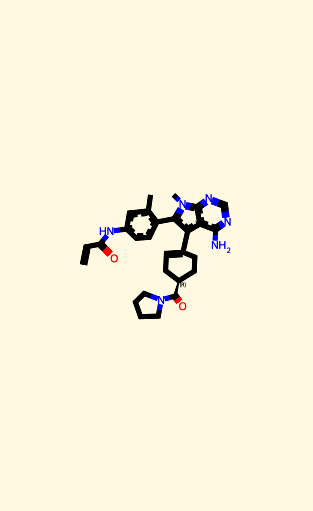 C=CC(=O)Nc1ccc(-c2c(C3=CC[C@H](C(=O)N4CCCC4)CC3)c3c(N)ncnc3n2C)c(C)c1